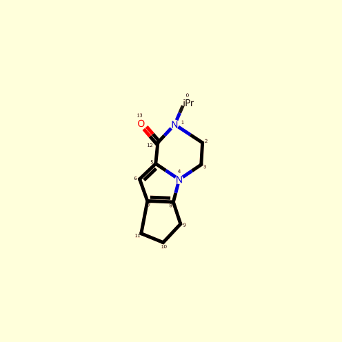 CC(C)N1CCn2c(cc3c2CCC3)C1=O